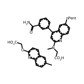 CCCCCc1ccc2nc(N(C)CC(=O)O)cc(-c3cccc(C(N)=O)c3)c2c1.Cc1ccc2nc(OCC(=O)O)ccc2c1